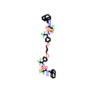 O=C(NCC12CC3CC(CC(C3)C1)C2)C(F)(F)S(=O)(=O)ON=C(c1ccc(OCCCOc2ccc(C(=NOS(=O)(=O)C(F)(F)C(=O)NCC34CC5CC(CC(C5)C3)C4)C(F)(F)F)cc2)cc1)C(F)(F)F